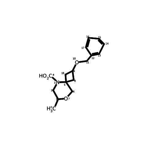 CC1CN(C(=O)O)C2(CO1)CC(OCc1ccccc1)C2